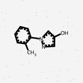 Cc1ccccc1-n1cc(O)cn1